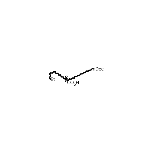 CC/C=C\C/C=C\C/C=C\CCCCCCCC(=O)OC(CCCCCCCCCCCCCCCCCCCCCCCCCCC)C(=O)O